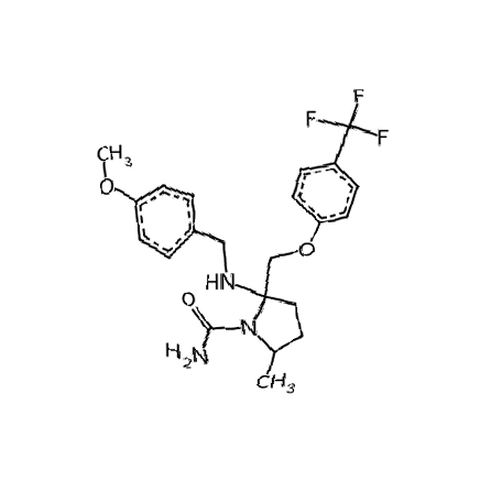 COc1ccc(CNC2(COc3ccc(C(F)(F)F)cc3)CCC(C)N2C(N)=O)cc1